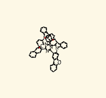 c1ccc(-n2c3ccccc3c3cccc(-c4nc(-c5ccc6ccccc6c5)nc(-c5cc6c(cc5-n5c7ccccc7c7cc8ccccc8cc75)oc5ccccc56)n4)c32)cc1